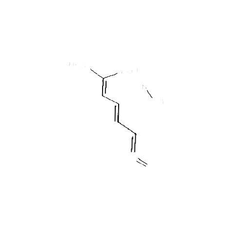 CCCCC/C(=C\C=C\C=S=O)C(=O)O.NO